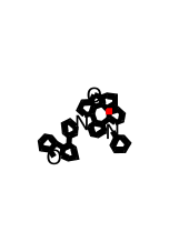 c1ccc(-n2c3cccc4c5cccc6oc7ccc8c(c7c65)c5c(c43)c2ccc5n8-c2cccc(-c3cccc4oc5ccccc5c34)c2)cc1